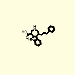 O=C(O)C1CNCC(CC=Cc2ccccc2)c2c1[nH]c1ccccc21